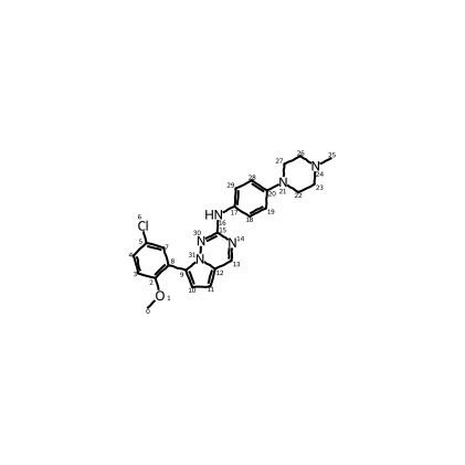 COc1ccc(Cl)cc1-c1ccc2cnc(Nc3ccc(N4CCN(C)CC4)cc3)nn12